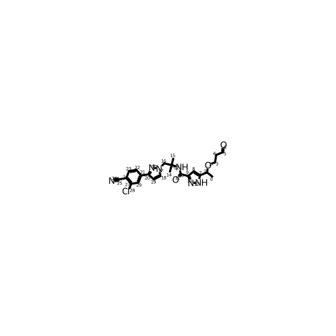 CC(OCCC=O)c1cc(C(=O)NC(C)(C)Cn2ccc(-c3ccc(C#N)c(Cl)c3)n2)n[nH]1